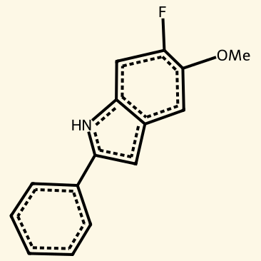 COc1cc2cc(-c3ccccc3)[nH]c2cc1F